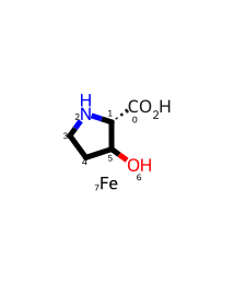 O=C(O)[C@H]1NCCC1O.[Fe]